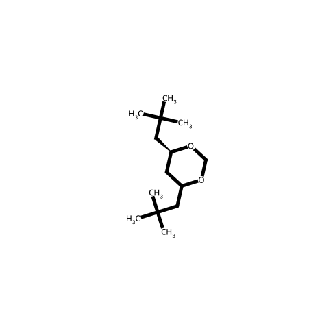 CC(C)(C)CC1C[C@@H](CC(C)(C)C)OCO1